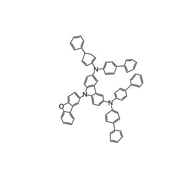 C1=CC(c2ccccc2)CC=C1N(c1ccc(-c2ccccc2)cc1)c1ccc2c(c1)c1cc(N(c3ccc(-c4ccccc4)cc3)c3ccc(-c4ccccc4)cc3)ccc1n2-c1ccc2oc3ccccc3c2c1